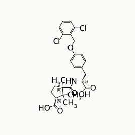 CC1(C)[C@@H](C(=O)O)CC[C@@]1(C)C(=O)N[C@@H](Cc1ccc(OCc2c(Cl)cccc2Cl)cc1)C(=O)O